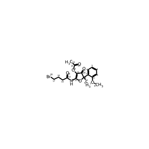 COc1ccccc1C1(C)OC(NC(=O)CCCBr)=C(OC(C)=O)C1=O